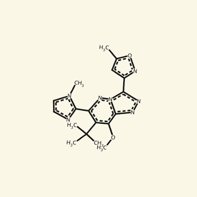 COc1c(C(C)(C)C)c(-c2nccn2C)nn2c(-c3cc(C)on3)nnc12